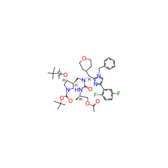 CC(=O)OC[C@@H](C)NC(=O)N(C[C@H]1CN(C(=O)OC(C)(C)C)C[C@@H]1O[Si](C)(C)C(C)(C)C)[C@@H](c1nc(-c2cc(F)ccc2F)cn1Cc1ccccc1)C1CCOCC1